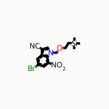 C[Si](C)(C)CCOCn1cc(C#N)c2cc(Br)cc([N+](=O)[O-])c21